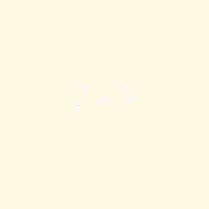 [Cl-].[Cl-].[Co+2].c1cc(-c2nc3ccccc3n2C2CCCCC2)nc(-c2nc3ccccc3n2C2CCCCC2)c1